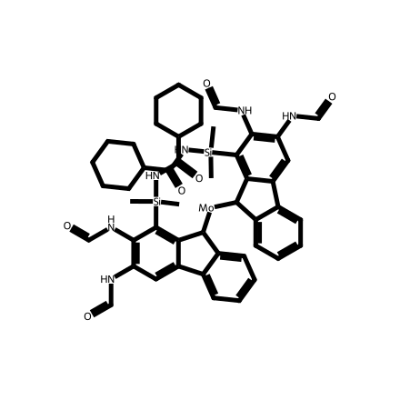 C[Si](C)(NC(=O)C1CCCCC1)c1c(NC=O)c(NC=O)cc2c1[CH]([Mo][CH]1c3ccccc3-c3cc(NC=O)c(NC=O)c([Si](C)(C)NC(=O)C4CCCCC4)c31)c1ccccc1-2